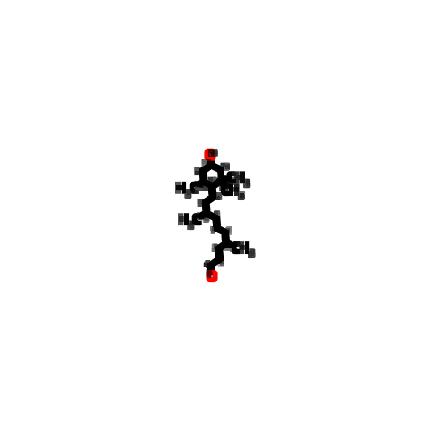 CC(C=CC=O)=CC=CC(C)=CC=C1C(C)=CC(=O)CC1(C)C